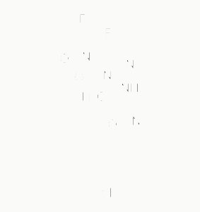 C[C@H](Nc1ncc(F)c(N2C(=O)OCC2CF)n1)c1ncc(-c2ccc(Cl)cc2)o1